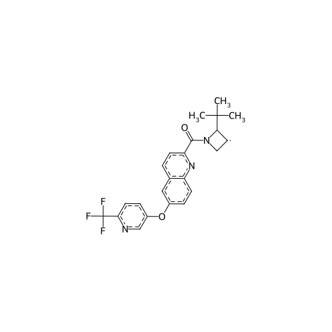 CC(C)(C)C1[CH]CN1C(=O)c1ccc2cc(Oc3ccc(C(F)(F)F)nc3)ccc2n1